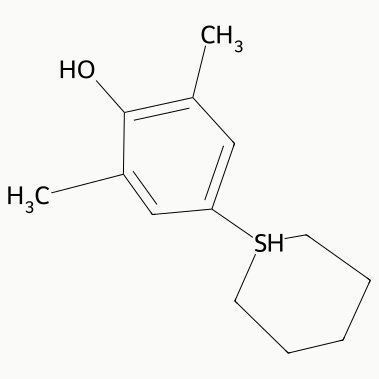 Cc1cc([SH]2CCCCC2)cc(C)c1O